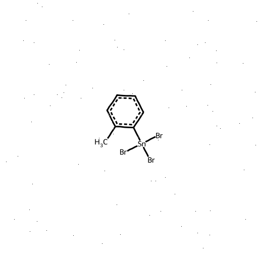 Cc1cccc[c]1[Sn]([Br])([Br])[Br]